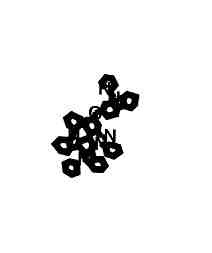 c1ccc(-n2c3ccccc3c3c2c2c4ccc(Oc5ccc6c7ccccc7n(-c7ccccn7)c6c5)cc4c4nc5ccccc5n4c2c2c4ccccc4n(-c4ccccc4)c32)cc1